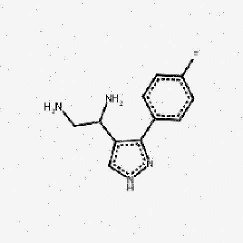 NCC(N)c1c[nH]nc1-c1ccc(F)cc1